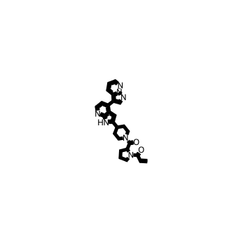 C=CC(=O)N1CCCC1C(=O)N1CCC(c2cc3c(-c4cnn5ncccc45)ccnc3[nH]2)CC1